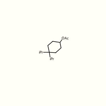 CC(=O)OC1CCC(C(C)C)(C(C)C)CC1